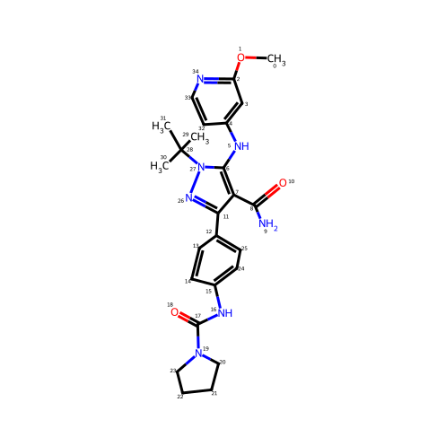 COc1cc(Nc2c(C(N)=O)c(-c3ccc(NC(=O)N4CCCC4)cc3)nn2C(C)(C)C)ccn1